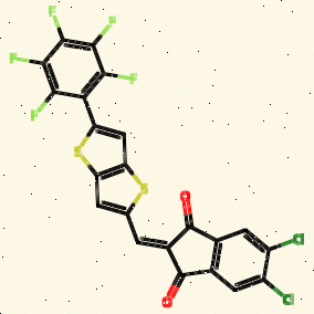 O=C1C(=Cc2cc3sc(-c4c(F)c(F)c(F)c(F)c4F)cc3s2)C(=O)c2cc(Cl)c(Cl)cc21